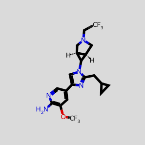 Nc1ncc(-c2cn(C3[C@H]4CN(CC(F)(F)F)C[C@@H]34)c(CC3CC3)n2)cc1OC(F)(F)F